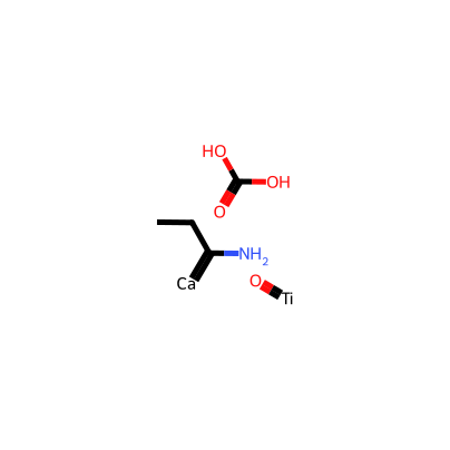 CC[C](N)=[Ca].O=C(O)O.[O]=[Ti]